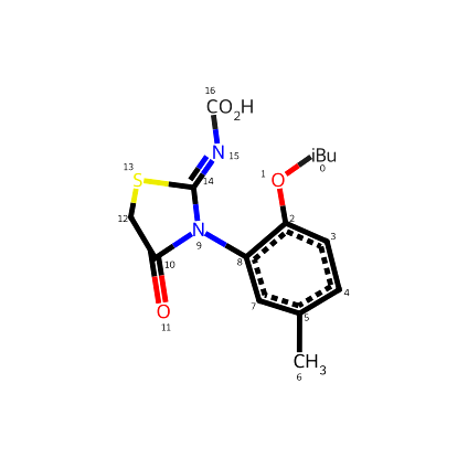 CCC(C)Oc1ccc(C)cc1N1C(=O)CS/C1=N\C(=O)O